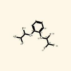 FC(F)C(F)Oc1ccccc1OC(F)C(F)F